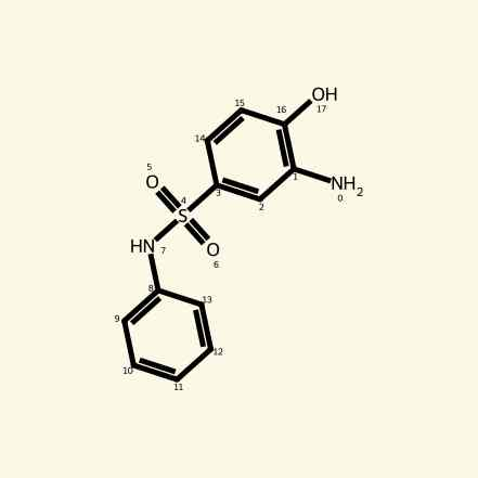 Nc1cc(S(=O)(=O)Nc2ccccc2)ccc1O